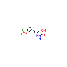 O=c1[nH]nc(C=Cc2cccc(OC(F)F)c2)cc1O